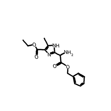 CCOC(=O)c1nc(C(N)C(=O)OCc2ccccc2)[nH]c1C